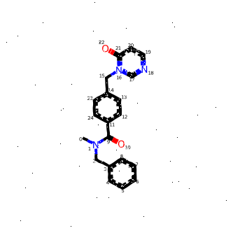 CN(Cc1ccccc1)C(=O)c1ccc(Cn2cnccc2=O)cc1